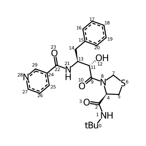 CC(C)(C)NC(=O)[C@@H]1CSCN1C(=O)[C@@H](O)[C@H](Cc1ccccc1)NC(=O)c1cccnc1